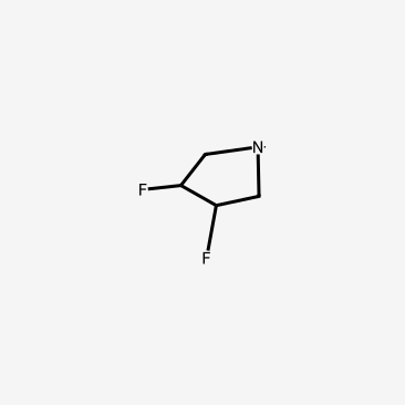 FC1C[N]CC1F